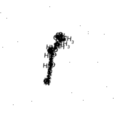 CCC1[C@@H](C)C(S[C@@H]2CN[C@H](C(=O)Nc3cccc(C(=O)NSCCCC(=O)NCCOCCCCc4cccnc4)c3)C2)=C(C(=O)O)N1C=O